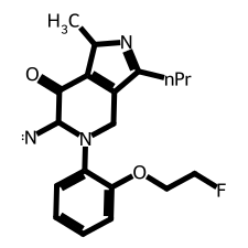 CCCC1=NC(C)C2=C1CN(c1ccccc1OCCF)C([N])C2=O